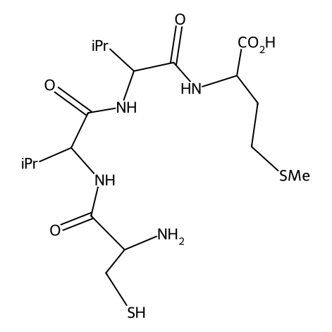 CSCCC(NC(=O)C(NC(=O)C(NC(=O)C(N)CS)C(C)C)C(C)C)C(=O)O